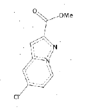 COC(=O)c1cc2cc(Cl)ccn2n1